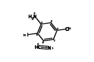 C#N.Nc1cc(Cl)ccc1I